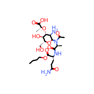 CCCCOC(=O)[C@@H](CCC(N)=O)NC(=O)[C@H](C)N(C(C)=O)C1O[C@H](CO)[C@@H](O)[C@H](O[C@H](C)C(=O)O)[C@H]1N